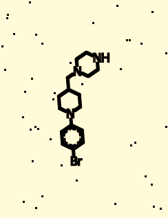 Brc1ccc(N2CCC(CN3CCNCC3)CC2)cc1